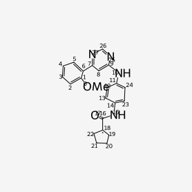 COc1ccccc1-c1cc(Nc2ccc(NC(=O)[C]3CCCC3)cc2)ncn1